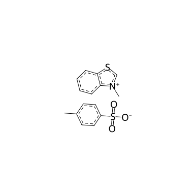 C[n+]1csc2ccccc21.Cc1ccc(S(=O)(=O)[O-])cc1